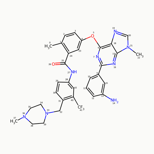 Cc1ccc(Oc2nc(-c3cccc(N)c3)nc3c2ncn3C)cc1C(=O)Nc1ccc(CN2CCN(C)CC2)c(C(F)(F)F)c1